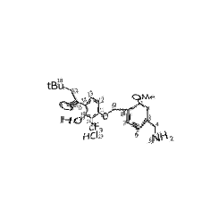 COc1cc(CN)ccc1COc1ccc(C(=O)CC(C)(C)C)c(O)c1C(F)(F)F.Cl